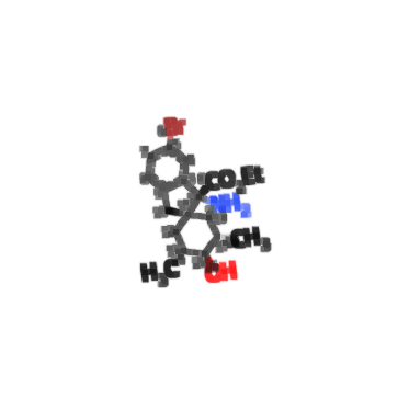 CCOC(=O)[C@]1(N)c2cc(Br)ccc2C[C@@]12C[C@@H](C)[C@H](O)[C@@H](C)C2